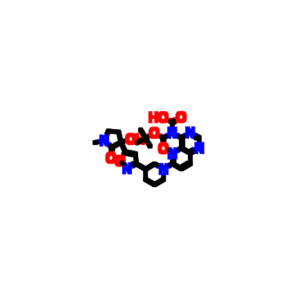 CN1CCC(O)(c2cc(C3CCCN(c4ccc5ncnc(N(C(=O)O)C(=O)OC(C)(C)C)c5n4)C3)no2)C1=O